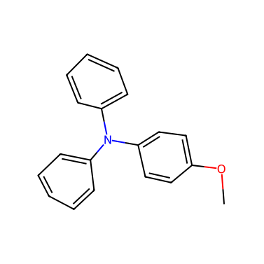 COc1ccc(N(c2ccccc2)c2ccccc2)cc1